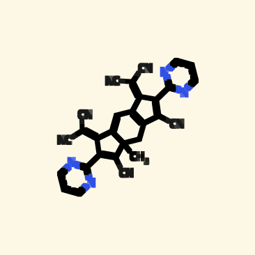 CC12CC3=C(C=C1C(=C(C#N)C#N)C(c1ncccn1)=C2C#N)C(=C(C#N)C#N)C(c1ncccn1)=C3C#N